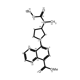 COC(=O)c1cnc(N2CCC(N(C)C(=O)OC(C)(C)C)C2)c2nccnc12